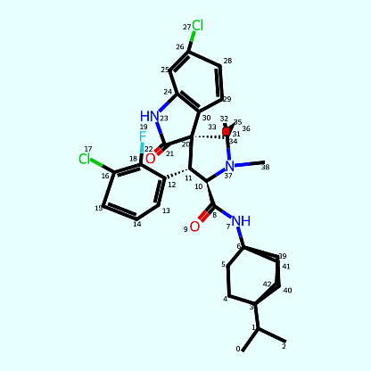 CC(C)C12CCC(NC(=O)[C@H]3[C@H](c4cccc(Cl)c4F)[C@]4(C(=O)Nc5cc(Cl)ccc54)C4(CCCCC4)N3C)(CC1)CC2